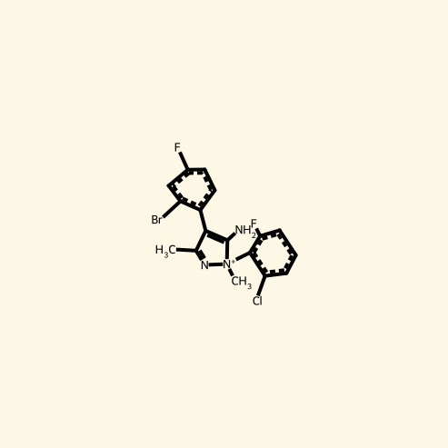 CC1=N[N+](C)(c2c(F)cccc2Cl)C(N)=C1c1ccc(F)cc1Br